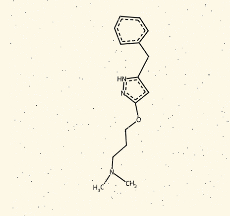 CN(C)CCCOc1cc(Cc2ccccc2)[nH]n1